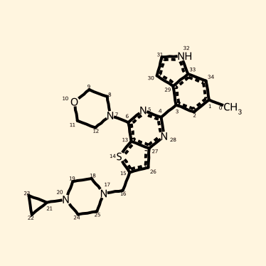 Cc1cc(-c2nc(N3CCOCC3)c3sc(CN4CCN(C5CC5)CC4)cc3n2)c2cc[nH]c2c1